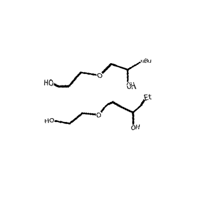 CCC(O)COCCO.CCCCC(O)COCCO